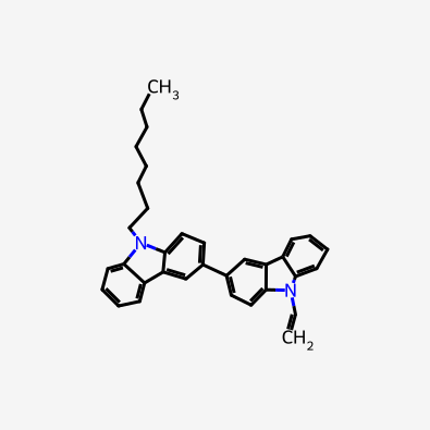 C=Cn1c2ccccc2c2cc(-c3ccc4c(c3)c3ccccc3n4CCCCCCCC)ccc21